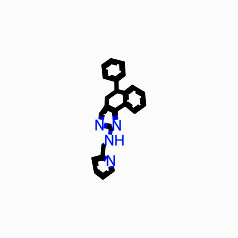 c1ccc(C2Cc3cnc(NCc4ccccn4)nc3-c3ccccc32)cc1